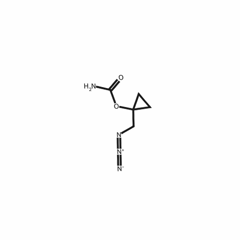 [N-]=[N+]=NCC1(OC(N)=O)CC1